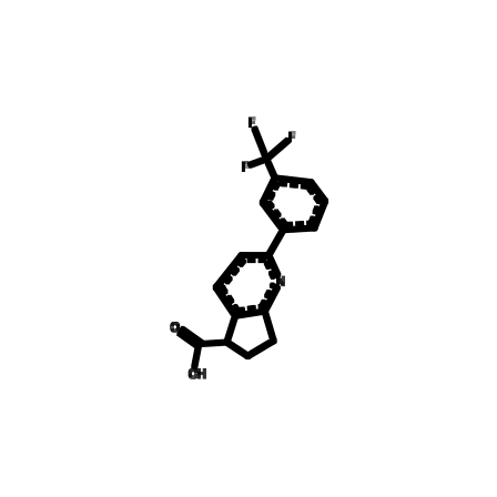 O=C(O)C1CCc2nc(-c3cccc(C(F)(F)F)c3)ccc21